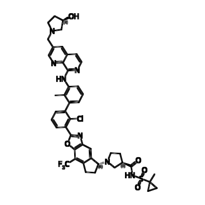 Cc1c(Nc2nccc3cc(CN4CC[C@@H](O)C4)cnc23)cccc1-c1cccc(-c2nc3cc4c(c(C(F)(F)F)c3o2)CC[C@H]4N2CC[C@@H](C(=O)NS(=O)(=O)C3(C)CC3)C2)c1Cl